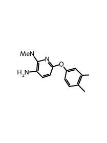 CNc1nc(Oc2ccc(C)c(C)c2)ccc1N